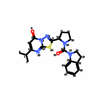 CC(C)c1cc(=O)n2nc(C3CCCN3C(=O)N3CCc4ccccc43)sc2n1